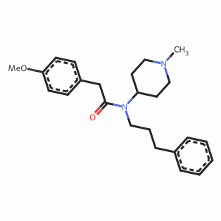 COc1ccc(CC(=O)N(CCCc2ccccc2)C2CCN(C)CC2)cc1